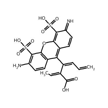 C=C/C=C(\C(=C/C)C(=O)O)c1c2ccc(=N)c(S(=O)(=O)O)c-2oc2c(S(=O)(=O)O)c(N)ccc12